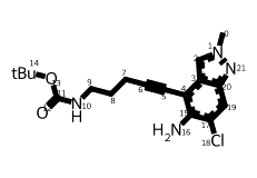 Cn1cc2c(C#CCCCNC(=O)OC(C)(C)C)c(N)c(Cl)cc2n1